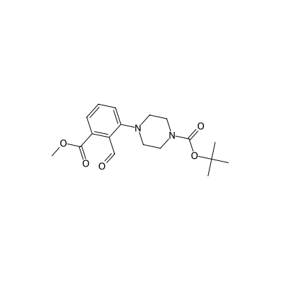 COC(=O)c1cccc(N2CCN(C(=O)OC(C)(C)C)CC2)c1C=O